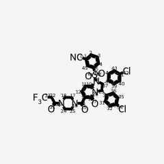 N#Cc1cccc(S(=O)(=O)N2c3ccc(C(=O)N4CCN(C(=O)CC(F)(F)F)CC4)c(=O)n3[C@@H](c3ccc(Cl)cc3)[C@H]2c2ccc(Cl)cc2)c1